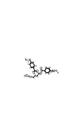 CCCCCCCCCCCCCC(OC(=O)c1ccc(N)cc1)OC(=O)c1ccc(N)cc1